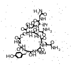 CC[C@H](C)[C@@H]1NC(=O)[C@H](Cc2ccc(O)cc2)NC(=O)CNC(=O)CC[C@@H](C(=O)N(C)CC(=O)N[C@H](C(=O)NCC(N)=O)C(C)C)NC(=O)[C@H](CC(N)=O)NC(=O)[C@H](CCC(N)=O)NC1=O